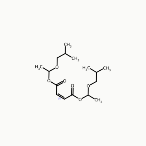 CC(C)COC(C)OC(=O)/C=C\C(=O)OC(C)OCC(C)C